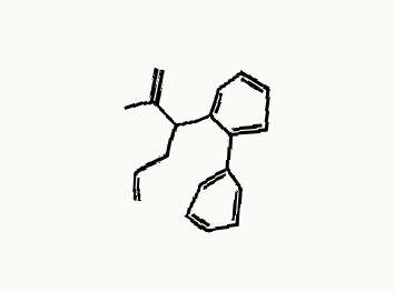 C=CCC(C(=C)C)c1ccccc1-c1ccccc1